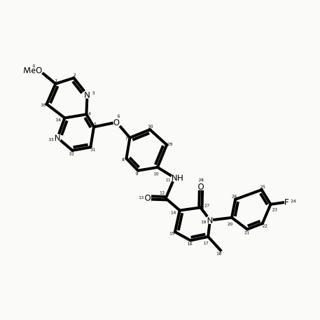 COc1cnc2c(Oc3ccc(NC(=O)c4ccc(C)n(-c5ccc(F)cc5)c4=O)cc3)ccnc2c1